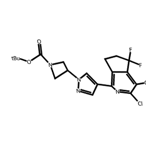 CC(C)(C)OC(=O)N1CC(n2cc(-c3nc(Cl)c(C#N)c4c3CCC4(F)F)cn2)C1